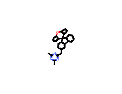 Cc1nc(C)nc(Cc2ccc3c(c2)-c2ccccc2C32c3ccccc3Oc3ccccc32)n1